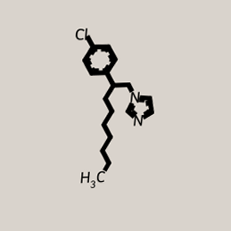 CCCCCCCC(Cn1ccnc1)c1ccc(Cl)cc1